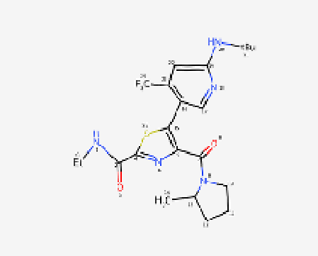 CCNC(=O)c1nc(C(=O)N2CCCC2C)c(-c2cnc(NC(C)(C)C)cc2C(F)(F)F)s1